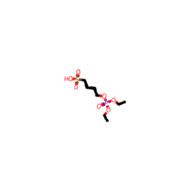 CCOP(=O)(OCC)OCCCCS(=O)(=O)O